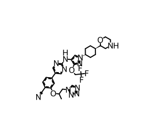 CC(Cn1cnnn1)Oc1cc(-c2cnc(Nc3cn([C@H]4CC[C@H](C5CNCCO5)CC4)nc3OCC(F)(F)F)nc2)ccc1C#N